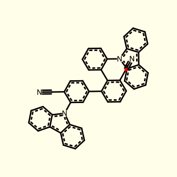 N#Cc1ccc(-c2cccc(C#N)c2-c2ccccc2-n2c3ccccc3c3ccccc32)cc1-n1c2ccccc2c2ccccc21